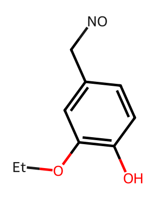 CCOc1cc(CN=O)ccc1O